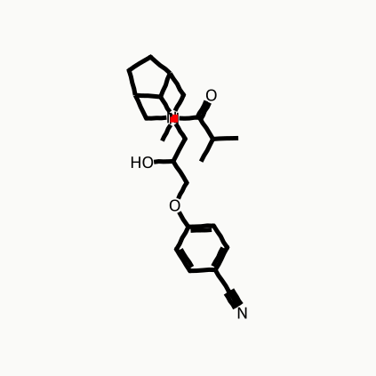 CC(C)C(=O)N(C)C1C2CCC1CN(CC(O)COc1ccc(C#N)cc1)C2